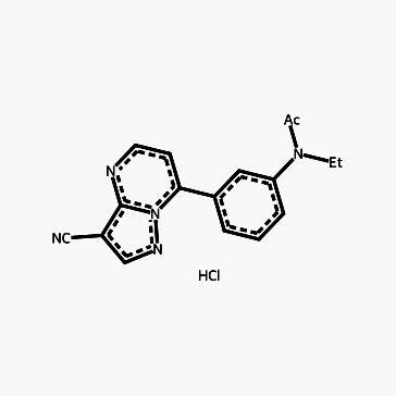 CCN(C(C)=O)c1cccc(-c2ccnc3c(C#N)cnn23)c1.Cl